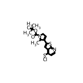 CC1C(c2cc3c(SCl)ccnc3s2)=CCN1C(=O)OC(C)(C)C